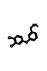 NCc1cccc(Oc2ccc(Cl)c(Cl)c2)c1